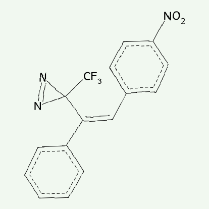 O=[N+]([O-])c1ccc(C=C(c2ccccc2)C2(C(F)(F)F)N=N2)cc1